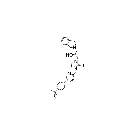 CC(=O)N1CCC(c2ccc(CN3CCN(CC(O)CN4CCc5ccccc5C4)C3=O)nc2)CC1